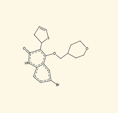 O=c1[nH]c2ccc(Br)cc2c(OCC2CCOCC2)c1C1CC=CS1